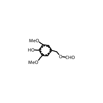 COc1cc(COC=O)cc(OC)c1O